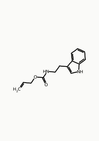 C=CCOC(=O)NCCc1c[nH]c2ccccc12